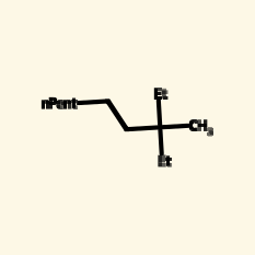 [CH2]CCCCCCC(C)(C[CH2])CC